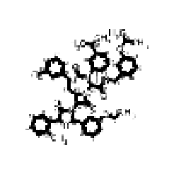 CCOc1cccc(C2OC(c3ccccc3C)C(=O)N2C2C(=O)N(C(C(=O)NCc3cccc(OC(C)C)c3)N(C=O)c3cccc(C(C)C)c3)C2CCc2cccc(Cl)c2)c1